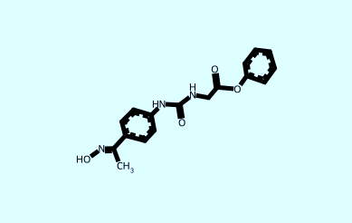 C/C(=N\O)c1ccc(NC(=O)NCC(=O)Oc2ccccc2)cc1